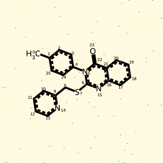 Cc1ccc(-n2c(SCc3ccccn3)nc3ccccc3c2=O)cc1